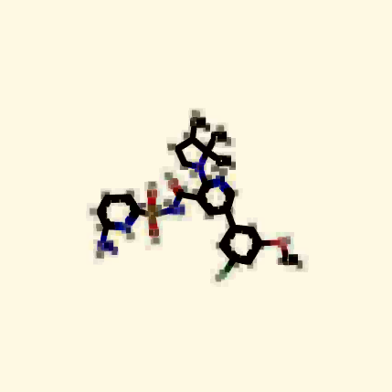 COc1cc(F)cc(-c2cnc(N3CCC(C)C3(C)C)c(C(=O)NS(=O)(=O)c3cccc(N)n3)c2)c1